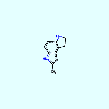 Cc1cc2c3c(ccc2[nH]1)NCC3